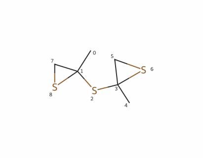 CC1(SC2(C)CS2)CS1